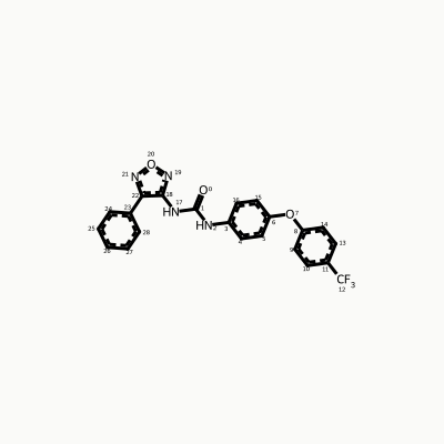 O=C(Nc1ccc(Oc2ccc(C(F)(F)F)cc2)cc1)Nc1nonc1-c1ccccc1